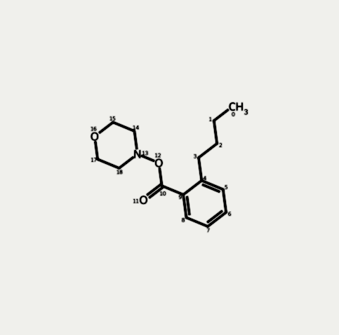 CCCCc1ccccc1C(=O)ON1CCOCC1